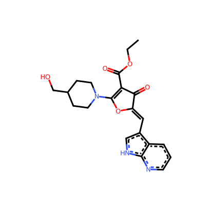 CCOC(=O)C1=C(N2CCC(CO)CC2)O/C(=C\c2c[nH]c3ncccc23)C1=O